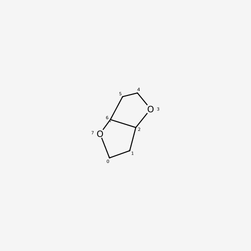 C1CC2OCC[C]2O1